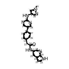 Cn1cc(Nc2ncc(-c3ccc(CC(=O)Nc4cnc5[nH]ccc5c4)cc3)cn2)cn1